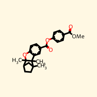 COC(=O)c1ccc(OC(=O)c2ccc3c(c2)C2(C)C4(C)CCC(C4)C2(C)O3)cc1